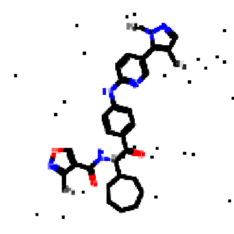 Cc1cnn(C)c1-c1ccc(Nc2ccc(C(=O)[C@@H](NC(=O)c3conc3C)C3CCCCCC3)cc2)nc1